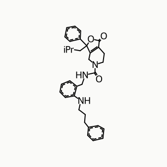 CC(C)CC1(c2ccccc2)OC(=O)C2=C1CN(C(=O)NCc1ccccc1NCCCc1ccccc1)CC2